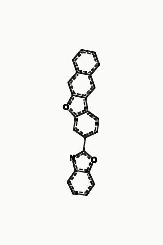 c1ccc2cc3c(cc2c1)oc1cc(-c2nc4ccccc4o2)ccc13